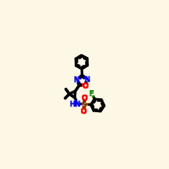 CC1(C)C(NS(=O)(=O)c2ccccc2F)C1c1nc(-c2ccccc2)no1